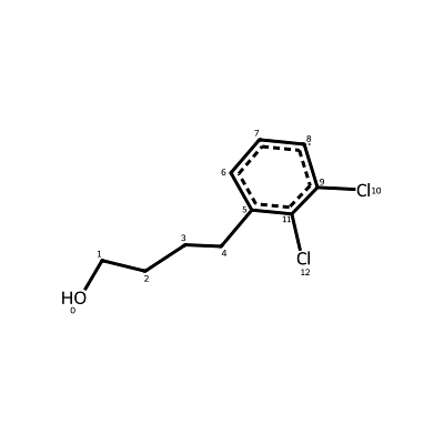 OCCCCc1cc[c]c(Cl)c1Cl